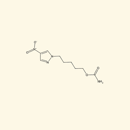 NC(=O)OCCCCCn1cc([N+](=O)[O-])cn1